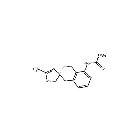 COC(=O)Nc1cccc2c1CC[C@@]1(COC(N)=N1)C2